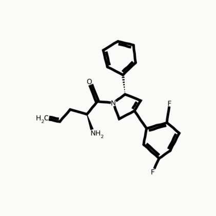 C=CC[C@H](N)C(=O)N1CC(c2cc(F)ccc2F)=C[C@H]1c1ccccc1